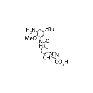 COc1c(N)cc(C(C)(C)C)cc1NC(=O)c1ccc(C)c(-n2cnc(C(=O)O)c2)c1